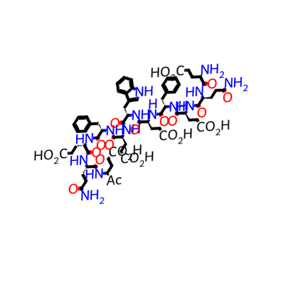 CC(=O)[C@H](CCC(=O)O)NC(=O)[C@H](CCC(N)=O)NC(=O)[C@H](CCC(=O)O)NC(=O)[C@H](Cc1ccccc1)NC(=O)[C@H](CCC(=O)O)NC(=O)[C@H](Cc1c[nH]c2ccccc12)NC(=O)[C@H](CCC(=O)O)NC(=O)[C@H](Cc1ccccc1)NC(=O)[C@H](CCC(=O)O)NC(=O)[C@H](CCC(N)=O)NC(=O)[C@@H](N)CCC(=O)O